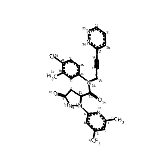 Cc1cc(C(F)(F)F)cc(N2NC(=O)CC2C(=O)N(CC#Cc2cccnn2)c2ccc(Cl)c(C)c2)n1